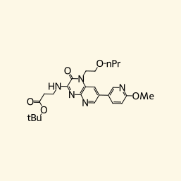 CCCOCCn1c(=O)c(NCCC(=O)OC(C)(C)C)nc2ncc(-c3ccc(OC)nc3)cc21